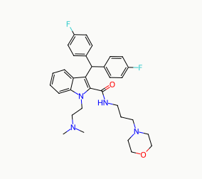 CN(C)CCn1c(C(=O)NCCCN2CCOCC2)c(C(c2ccc(F)cc2)c2ccc(F)cc2)c2ccccc21